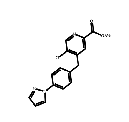 COC(=O)c1cc(Cc2ccc(-n3cccn3)cc2)c(Cl)cn1